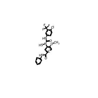 COc1ccc(C(=O)Nc2ccccc2)cc1N(S)C(=O)Nc1ccc(Cl)c(C(F)(F)F)c1